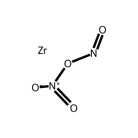 O=NO[N+](=O)[O-].[Zr]